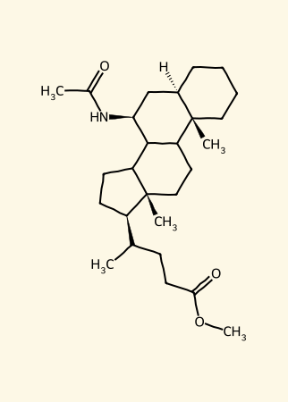 COC(=O)CCC(C)[C@H]1CCC2C3C(CC[C@@]21C)[C@@]1(C)CCCC[C@@H]1C[C@@H]3NC(C)=O